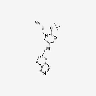 C#CCCN(C[C@@H](C)NCc1ccc2cnccc2c1)C(=O)OC(C)(C)C